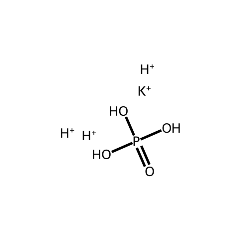 O=P(O)(O)O.[H+].[H+].[H+].[K+]